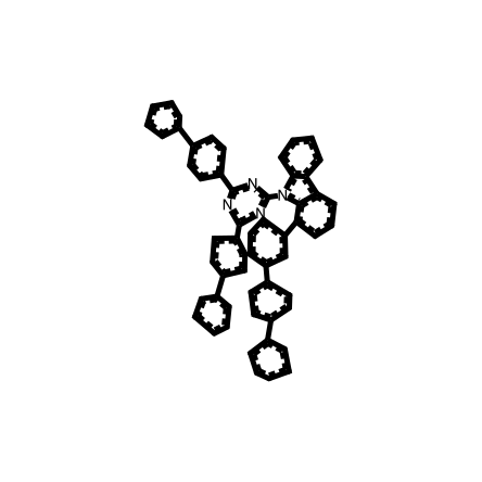 c1ccc(-c2ccc(-c3cccc(-c4cccc5c6ccccc6n(-c6nc(-c7ccc(-c8ccccc8)cc7)nc(-c7ccc(-c8ccccc8)cc7)n6)c45)c3)cc2)cc1